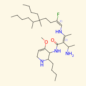 CCCCC1NCC=C(OC)C1NC(=O)/C(=C(/C)N/C=C(/F)CCC(C)(CCCC)C(C)CCCC)C(C)N